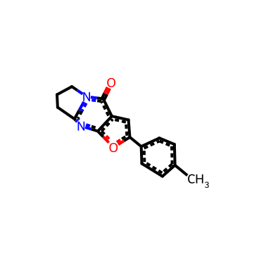 Cc1ccc(-c2cc3c(=O)n4c(nc3o2)CCC4)cc1